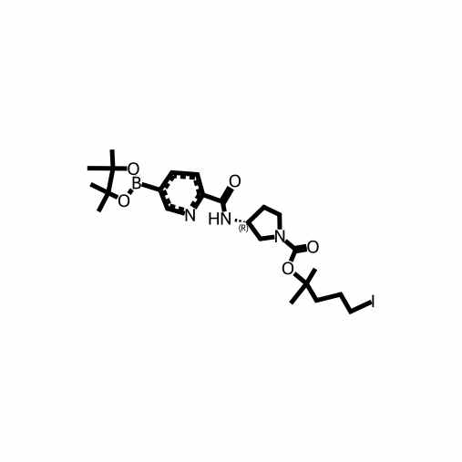 CC(C)(CCCI)OC(=O)N1CC[C@@H](NC(=O)c2ccc(B3OC(C)(C)C(C)(C)O3)cn2)C1